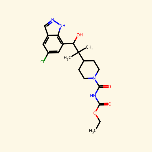 CCOC(=O)NC(=O)N1CCC(C(C)(C)C(O)c2cc(Cl)cc3cn[nH]c23)CC1